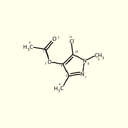 CC(=O)Oc1c(C)nn(C)c1Cl